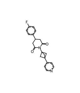 O=C1CC(c2ccc(F)cc2)CC(=O)N1C12CC(c3ccncc3)(C1)C2